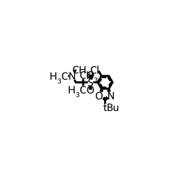 CN(C)CC(C)(C)S(=O)(=O)c1c(Cl)ccc2nc(C(C)(C)C)oc12